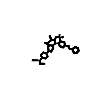 C=C(C1=C(c2ccc(N3CCC(C(OC)OC)CC3)cc2)c2ccc(OCc3ccccc3)cc2C(F)(F)C1)C1CC1